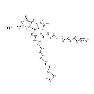 CCCCCCCCCCCCC(CCC(=O)OC(CCCCCCCCCCCCC(=O)O)CCCCCCCCCCCCC(=O)O)OC(=O)OCCCN(C)C